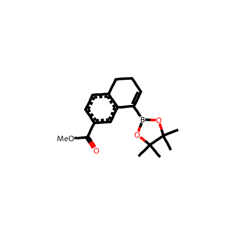 COC(=O)c1ccc2c(c1)C(B1OC(C)(C)C(C)(C)O1)=CCC2